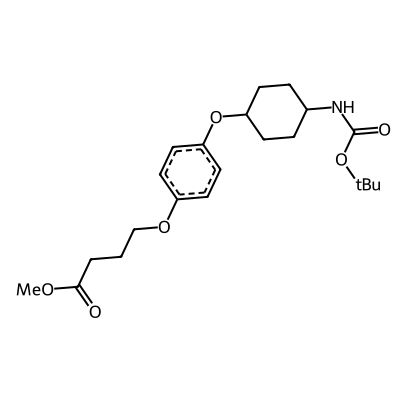 COC(=O)CCCOc1ccc(OC2CCC(NC(=O)OC(C)(C)C)CC2)cc1